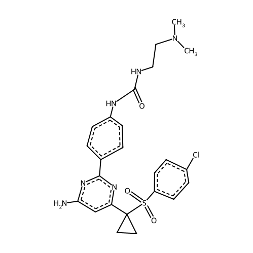 CN(C)CCNC(=O)Nc1ccc(-c2nc(N)cc(C3(S(=O)(=O)c4ccc(Cl)cc4)CC3)n2)cc1